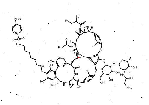 CCCCCCc1ccc(S(=O)(=O)NCCCCCCNCc2c(O)cc3c(c2O)-c2cc(ccc2O)[C@H]2CC(=O)[C@@H]4NC(=O)[C@H](CC(N)=O)CC(=O)[C@H](NC(=O)[C@H](CC)CC(C)C)[C@H](O)c5ccc(c(Cl)c5)Oc5cc4cc(c5O[C@@H]4O[C@H](CO)[C@@H](O)[C@H](O)[C@H]4O[C@H]4C[C@](C)(NC(=O)CN)[C@H](O)[C@H](C)O4)Oc4ccc(cc4Cl)[C@@H](O)[C@H](NC2=O)C(=O)N[C@@H]3C(=O)O)cc1